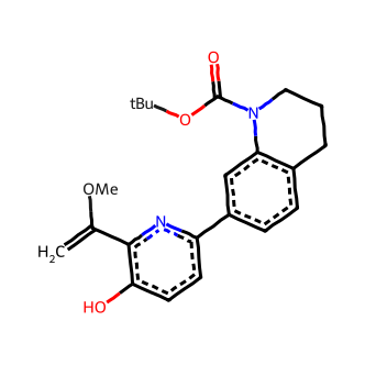 C=C(OC)c1nc(-c2ccc3c(c2)N(C(=O)OC(C)(C)C)CCC3)ccc1O